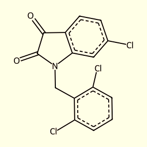 O=C1C(=O)N(Cc2c(Cl)cccc2Cl)c2cc(Cl)ccc21